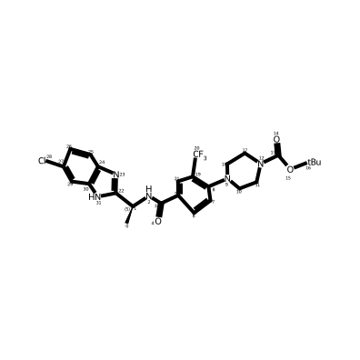 C[C@H](NC(=O)c1ccc(N2CCN(C(=O)OC(C)(C)C)CC2)c(C(F)(F)F)c1)c1nc2ccc(Cl)cc2[nH]1